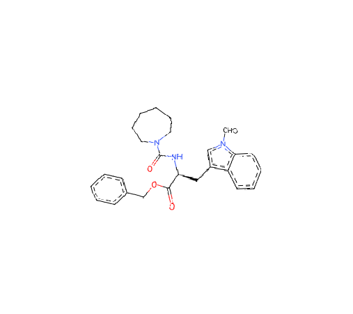 O=Cn1cc(C[C@H](NC(=O)N2CCCCCC2)C(=O)OCc2ccccc2)c2ccccc21